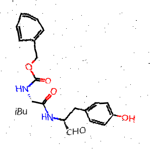 CC[C@H](C)[C@H](NC(=O)OCc1ccccc1)C(=O)N[C@H](C=O)Cc1ccc(O)cc1